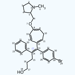 CN1CCCC1COC1=CCC=C(/C(=C(/CCCO)c2ccccc2)c2ccc(Br)cc2)C=C1